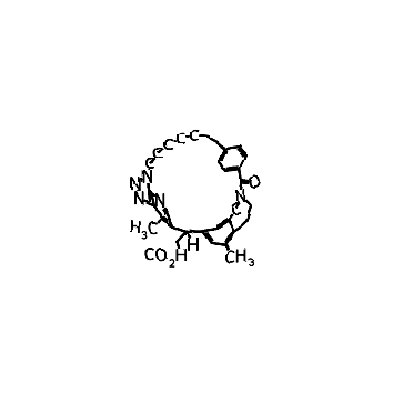 Cc1cc2cc3c1CCN(C3)C(=O)c1ccc(cc1)CCCCCCn1nnc3c(C)c(cnc31)[C@H]2CC(=O)O